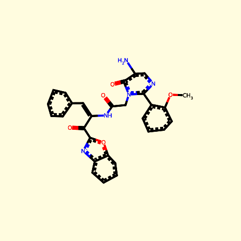 COc1ccccc1-c1ncc(N)c(=O)n1CC(=O)NC(=Cc1ccccc1)C(=O)c1nc2ccccc2o1